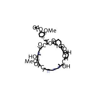 CO[C@@H]1C[C@H](C[C@@H](C)[C@@H]2CC(=O)[C@H](C)/C=C(\C)[C@@H](O)[C@@H](OC)C(=O)[C@H](C)C[C@H](C)/C=C/C=C/C=C(\C)[C@@H](O)C[C@@H]3CC[C@@H](C)[C@@](O)(O3)C(=O)C(=O)N3CCCC[C@H]3C(=O)O2)CC[C@H]1OP(C)(C)=O